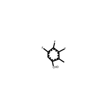 Cc1c(C=O)cc(F)c(F)c1F